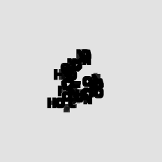 Cn1ccc(=O)n(-c2ccc(C[C@H](NC(=O)c3c(F)cc(NS(=O)(=O)c4ccc(-c5ncccn5)cn4)cc3F)C(=O)O)nc2)c1=O